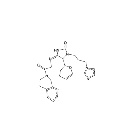 O=C(CN=C1NC(=O)N(CCCn2ccnc2)C1C1CCC=CO1)N1CCc2ccccc2C1